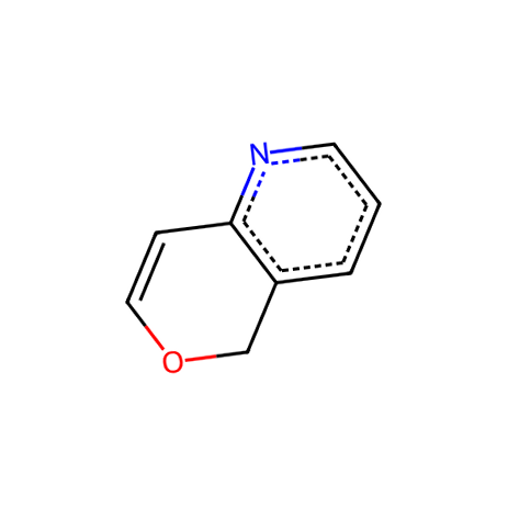 C1=Cc2ncccc2CO1